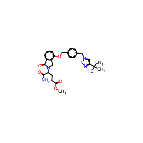 COC(=O)CCC(C(N)=O)N1Cc2c(OCc3ccc(Cn4cc(C(C)(C)C)nn4)cc3)cccc2C1=O